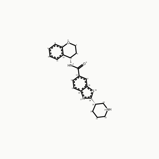 O=C(N[C@H]1CCOc2ccccc21)c1ccc2nc([C@H]3CCCNC3)sc2c1